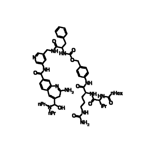 CCCCCCC(=O)N[C@H](C(=O)N[C@@H](CCCNC(N)=O)C(=O)Nc1ccc(COC(=O)NC(Cc2ccccc2)C(=O)NCc2cncc(NC(=O)c3ccc4c(c3)N=C(N)CC(C(O)N(CCC)CCC)=C4)c2)cc1)C(C)C